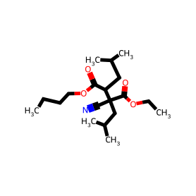 CCCCOC(=O)C(CC(C)C)C(C#N)(CC(C)C)C(=O)OCC